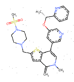 C=C1c2cc(CN3CCN(S(C)(=O)=O)CC3)sc2C(c2cncc(O[C@H](C)c3ccccn3)c2)=CN1C